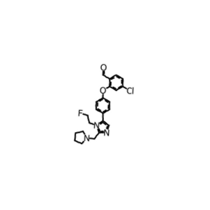 O=Cc1ccc(Cl)cc1Oc1ccc(-c2cnc(CN3CCCC3)n2CCF)cc1